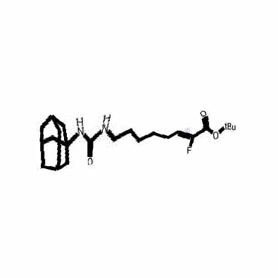 CC(C)(C)OC(=O)/C(F)=C/CCCCCNC(=O)NC12CC3CC(CC(C3)C1)C2